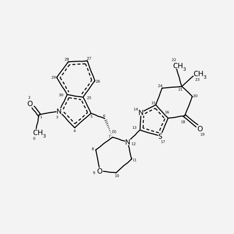 CC(=O)n1cc(C[C@H]2COCCN2c2nc3c(s2)C(=O)CC(C)(C)C3)c2ccccc21